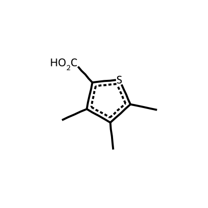 Cc1sc(C(=O)O)c(C)c1C